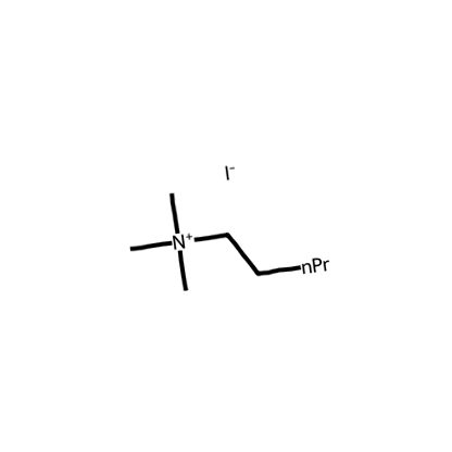 CCCCC[N+](C)(C)C.[I-]